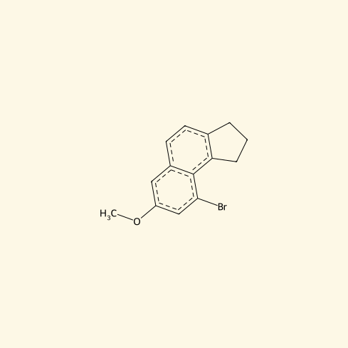 COc1cc(Br)c2c3c(ccc2c1)CCC3